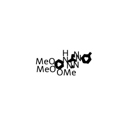 COc1cc(Nc2ncnc3c2cnn3-c2cccc(C)c2)cc(OC)c1OC